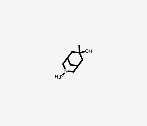 CC1(O)CC2CC(CN(P)C2)C1